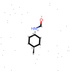 C[C@H]1CC[C@H](NC[O])CC1